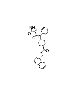 NC(=O)CC(=O)N(c1ccccc1)C1CCN(C(=O)[CH]Cc2cccc3ccccc23)CC1